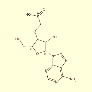 Nc1ncnc2c1ncn2[C@@H]1O[C@H](CO)C(OC[PH](=O)O)C1O